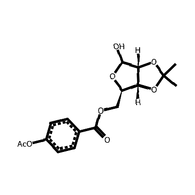 CC(=O)Oc1ccc(C(=O)OC[C@H]2OC(O)[C@@H]3OC(C)(C)O[C@H]23)cc1